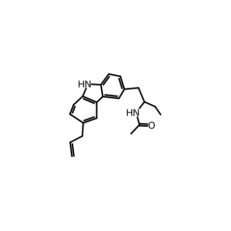 C=CCc1ccc2[nH]c3ccc(CC(CC)NC(C)=O)cc3c2c1